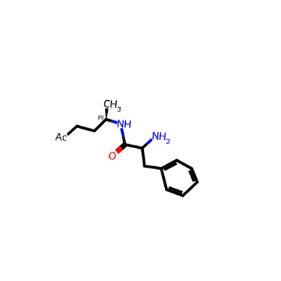 CC(=O)CC[C@@H](C)NC(=O)C(N)Cc1ccccc1